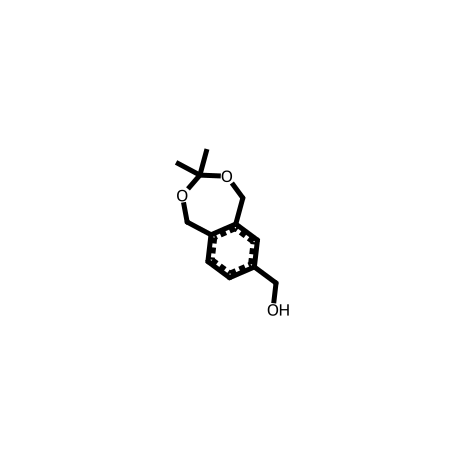 CC1(C)OCc2ccc(CO)cc2CO1